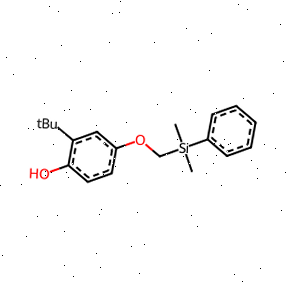 CC(C)(C)c1cc(OC[Si](C)(C)c2ccccc2)ccc1O